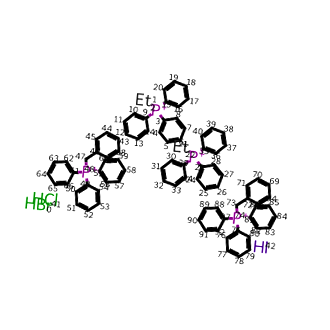 Br.CC[P+](c1ccccc1)(c1ccccc1)c1ccccc1.CC[P+](c1ccccc1)(c1ccccc1)c1ccccc1.Cl.I.c1ccc(C[P+](c2ccccc2)(c2ccccc2)c2ccccc2)cc1.c1ccc(C[P+](c2ccccc2)(c2ccccc2)c2ccccc2)cc1